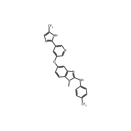 Cn1c(Nc2ccc(C(F)(F)F)cc2)nc2cc(Oc3cncc(-c4ncc(C(F)(F)F)[nH]4)c3)ccc21